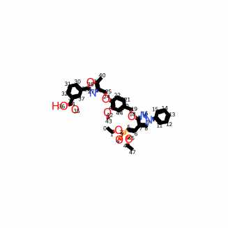 CCOP(=O)(C=Cc1cn(-c2ccccc2)nc1OCc1ccc(OCc2nc(-c3cccc(C(=O)O)c3)oc2C)c(OC)c1)OCC